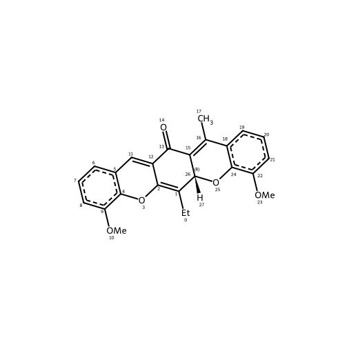 CCC1=C2Oc3c(cccc3OC)C=C2C(=O)C2=C(C)c3cccc(OC)c3O[C@H]12